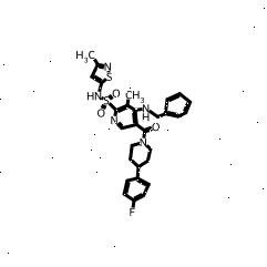 Cc1cc(NS(=O)(=O)c2ncc(C(=O)N3CCC(c4ccc(F)cc4)CC3)c(NCc3ccccc3)c2C)sn1